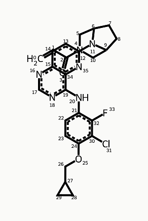 C=CC(=O)N1CC2CCC(C1)N2c1ccc2ncnc(Nc3ccc(OCC4CC4)c(Cl)c3F)c2n1